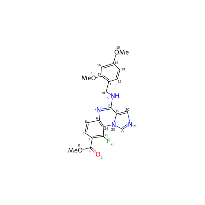 COC(=O)c1ccc2nc(NCc3ccc(OC)cc3OC)c3cncn3c2c1F